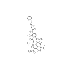 CC1c2ccc(NC(=O)CNOCc3ccccc3)c(O)c2C(=O)C2=C(O)C3(O)C(=O)C(C(N)=O)=C(O)[C@@H](N(C)C)C3C(O)C21